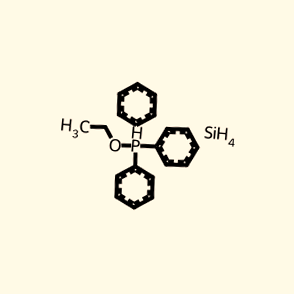 CCO[PH](c1ccccc1)(c1ccccc1)c1ccccc1.[SiH4]